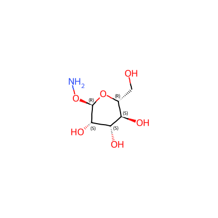 NO[C@H]1O[C@H](CO)[C@@H](O)[C@H](O)[C@@H]1O